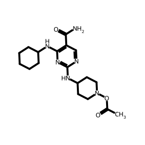 CC(=O)ON1CCC(Nc2ncc(C(N)=O)c(NC3CCCCC3)n2)CC1